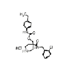 CCc1ccc(NC(=O)OCC2(C(=O)NCc3ccccc3Cl)CCNCC2)cc1.Cl